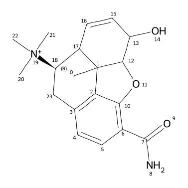 CC12c3c4ccc(C(N)=O)c3OC1C(O)C=CC2[C@H]([N+](C)(C)C)C4